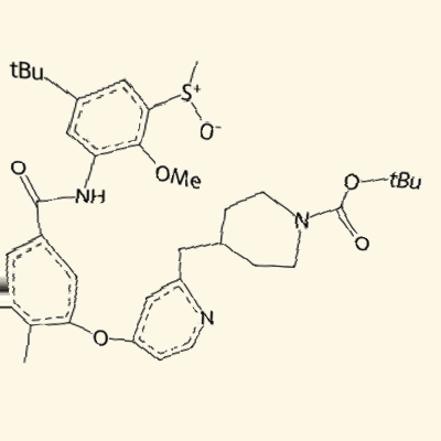 COc1c(NC(=O)c2ccc(C)c(Oc3ccnc(CC4CCN(C(=O)OC(C)(C)C)CC4)c3)c2)cc(C(C)(C)C)cc1[S+](C)[O-]